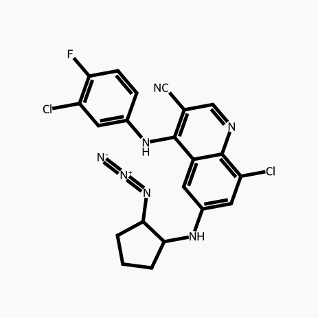 N#Cc1cnc2c(Cl)cc(NC3CCCC3N=[N+]=[N-])cc2c1Nc1ccc(F)c(Cl)c1